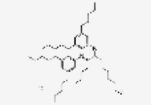 CCCCCCCCC(=Nc1cc(CCCCC)cc(CCCCC)c1)C(CCCC)=Nc1cc(CCCCC)cc(CCCCC)c1.[Pd]